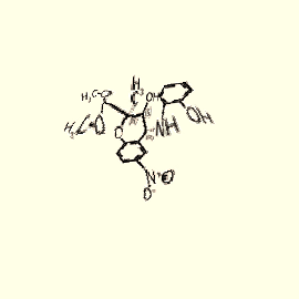 COC(OC)[C@]1(C)Oc2ccc([N+](=O)[O-])cc2[C@@H](Nc2ccccc2O)[C@@H]1O